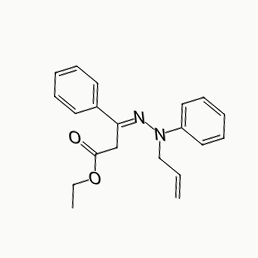 C=CCN(N=C(CC(=O)OCC)c1ccccc1)c1ccccc1